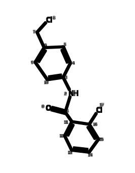 O=C(Nc1ccc(CCl)cc1)c1ccccc1Cl